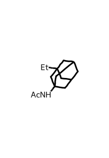 CCC12CC3CC(C1)CC(NC(C)=O)(C3)C2